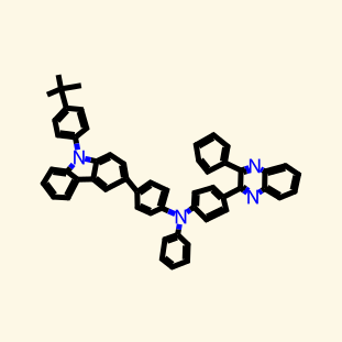 CC(C)(C)c1ccc(-n2c3ccccc3c3cc(-c4ccc(N(c5ccccc5)c5ccc(-c6nc7ccccc7nc6-c6ccccc6)cc5)cc4)ccc32)cc1